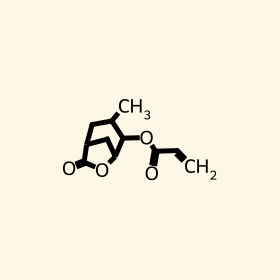 C=CC(=O)OC1C(C)CC2CC1OC2=O